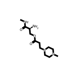 CNC(=O)[C@@H](N)COC(=O)CCN1CCN(C)CC1